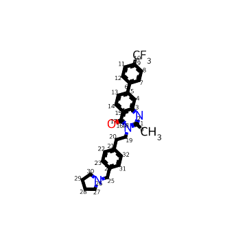 Cc1nc2cc(-c3ccc(C(F)(F)F)cc3)ccc2c(=O)n1CCc1ccc(CN2CCCC2)cc1